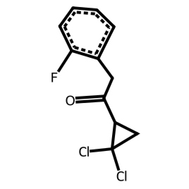 O=C(Cc1ccccc1F)C1CC1(Cl)Cl